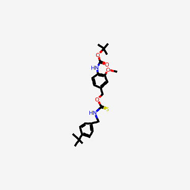 COc1cc(COC(=S)NCc2ccc(C(C)(C)C)cc2)ccc1NC(=O)OC(C)(C)C